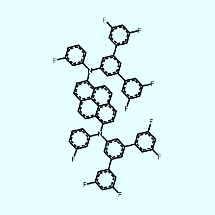 Fc1cc(F)cc(-c2cc(-c3cc(F)cc(F)c3)cc(N(c3cccc(F)c3)c3ccc4ccc5c(N(c6cccc(F)c6)c6cc(-c7cc(F)cc(F)c7)cc(-c7cc(F)cc(F)c7)c6)ccc6ccc3c4c65)c2)c1